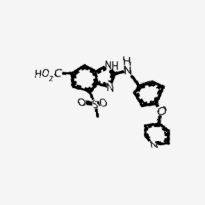 CS(=O)(=O)c1cc(C(=O)O)cc2[nH]c(Nc3ccc(Oc4ccncc4)cc3)nc12